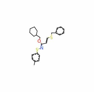 Cc1ccc(S/N=C(/C=C/SCc2ccccc2)OCC2CCCCC2)cc1